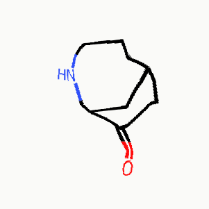 O=C1CC2CCNC1C2